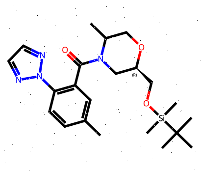 Cc1ccc(-n2nccn2)c(C(=O)N2C[C@H](CO[Si](C)(C)C(C)(C)C)OCC2C)c1